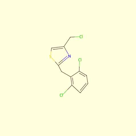 ClCc1csc(Cc2c(Cl)cccc2Cl)n1